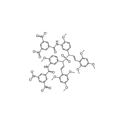 COc1cc(OC)c(C=CC(c2ccc(OC)c(NC(=O)c3cc([N+](=O)[O-])cc([N+](=O)[O-])c3)c2)S(=O)(=O)C(C=Cc2c(OC)cc(OC)cc2OC)c2ccc(OC)c(NC(=O)c3cc([N+](=O)[O-])cc([N+](=O)[O-])c3)c2)c(OC)c1